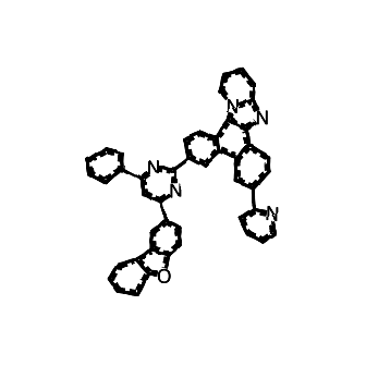 c1ccc(-c2cc(-c3ccc4oc5ccccc5c4c3)nc(-c3ccc4c(c3)c3cc(-c5ccccn5)ccc3c3nc5ccccn5c43)n2)cc1